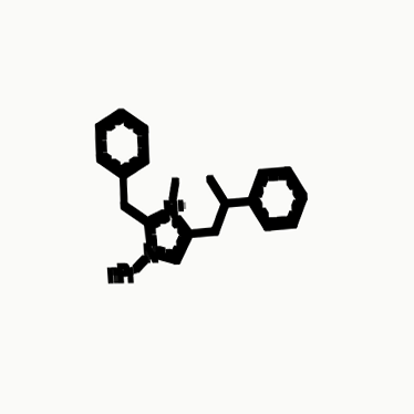 CCCn1cc(CC(C)c2ccccc2)[n+](C)c1Cc1ccccc1